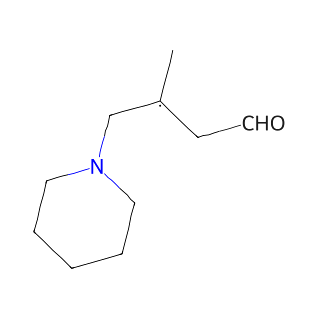 C[C](CC=O)CN1CCCCC1